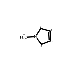 CN1CC=CC1